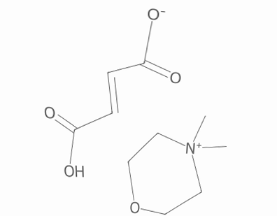 C[N+]1(C)CCOCC1.O=C([O-])C=CC(=O)O